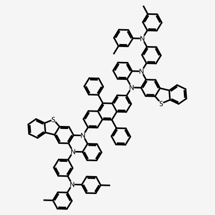 Cc1ccc(N(c2cccc(C)c2)c2cccc(N3c4ccccc4N(c4ccc5c(-c6ccccc6)c6cc(N7c8ccccc8N(c8cccc(N(c9cccc(C)c9)c9cccc(C)c9)c8)c8cc9c(cc87)sc7ccccc79)ccc6c(-c6ccccc6)c5c4)c4cc5sc6ccccc6c5cc43)c2)cc1